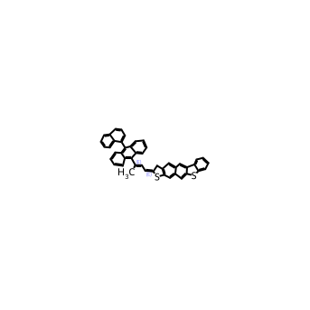 C/C(=C\C=C1/Cc2cc3cc4c(cc3cc2S1)sc1ccccc14)c1c2ccccc2c(-c2cccc3ccccc23)c2ccccc12